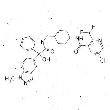 Cn1ncc2cc(C3(O)C(=O)N(CC4CCC(NC(=O)c5cc(Cl)cnc5C(F)F)CC4)c4ccccc43)ccc21